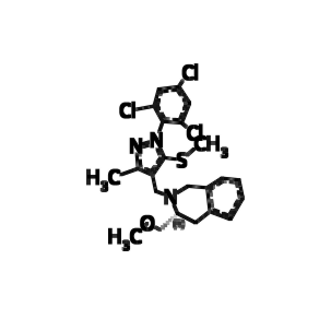 COC[C@H]1Cc2ccccc2CN1Cc1c(C)nn(-c2c(Cl)cc(Cl)cc2Cl)c1SC